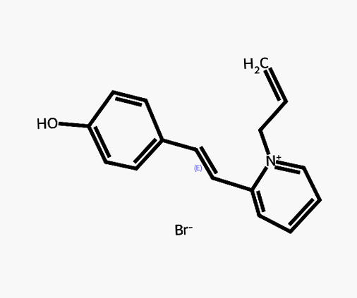 C=CC[n+]1ccccc1/C=C/c1ccc(O)cc1.[Br-]